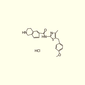 COc1ccc(Cc2sc(NC(=O)c3ccc4c(c3)CCNC4)nc2C)cc1.Cl